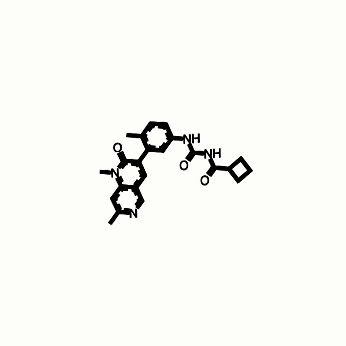 Cc1cc2c(cn1)cc(-c1cc(NC(=O)NC(=O)C3CCC3)ccc1C)c(=O)n2C